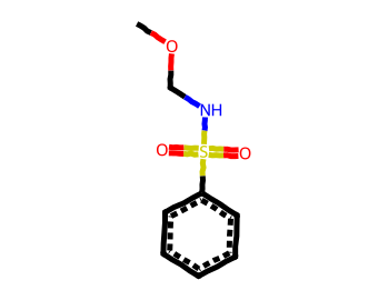 COCNS(=O)(=O)c1ccccc1